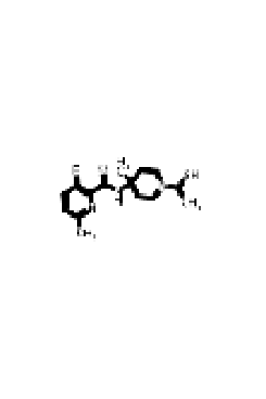 Cc1ccc(F)c(C(=O)NC2(C)CCN(C(C)S)CC2)n1